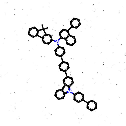 CC1(C)c2ccccc2-c2ccc(N(c3ccc(-c4ccc(-c5ccc6c(c5)c5ccccc5n6-c5ccc(-c6ccccc6)cc5)cc4)cc3)c3ccc(-c4ccccc4)c4ccccc34)cc21